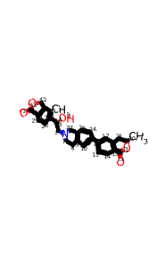 Cc1c([C@H](O)CN2CCc3cc(-c4ccc5c(c4)C[C@H](C)OC5=O)ccc3C2)ccc2c1COC2=O